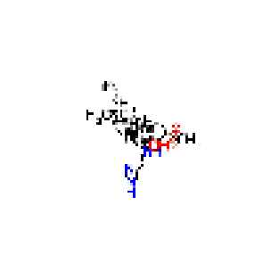 CC(C)CCC[C@@H](C)[C@H]1CC[C@H]2[C@@H]3C[C@@H](NCCc4c[nH]cn4)[C@@]4(O)CC(S(C)(=O)=O)CC[C@]4(C)[C@H]3CC[C@]12C